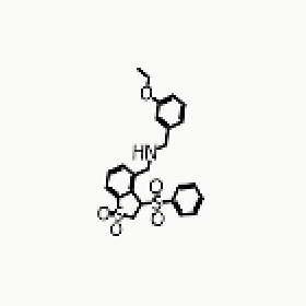 CCOc1cccc(CNCc2cccc3c2C(S(=O)(=O)c2ccccc2)CS3(=O)=O)c1